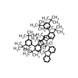 CC(C)C1=Cc2c(ccc(C(C)(C)C)c2-c2cc(C(C)(C)C)cc(C(C)(C)C)c2)[CH]1[Zr]([Cl])([Cl])([c]1cccc2c1[SiH2]c1ccccc1-2)[CH]1C(C(C)C)=Cc2c1ccc(C(C)(C)C)c2-c1cc(C(C)(C)C)cc(C(C)(C)C)c1